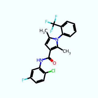 Cc1cc(C(=O)Nc2cc(F)ccc2Cl)c(C)n1-c1ccccc1C(F)(F)F